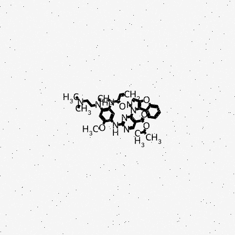 C=CC(=O)Nc1cc(Nc2ncc(C(=O)OC(C)C)c(-n3ncc4oc5ccccc5c43)n2)c(OC)cc1N(C)CCN(C)C